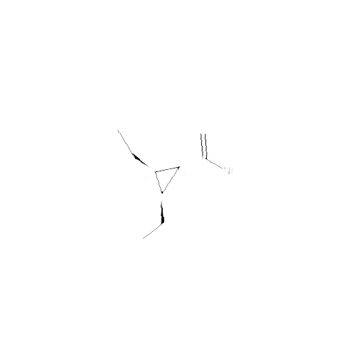 CC[C@@H]1[C@H](CC)[C@H]1C(N)=O